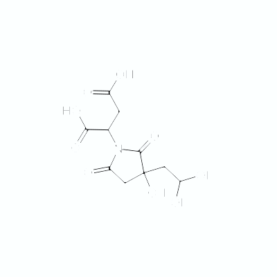 O=C(O)CC(C(=O)O)N1C(=O)CC(O)(CC(O)O)C1=O